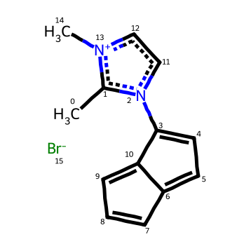 Cc1n(C2=CC=C3C=CC=C32)cc[n+]1C.[Br-]